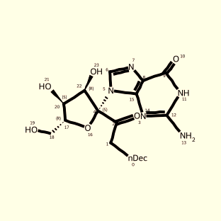 CCCCCCCCCCCC(=O)[C@@]1(n2cnc3c(=O)[nH]c(N)nc32)O[C@H](CO)[C@@H](O)[C@H]1O